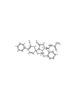 CC(=O)NC[C@H]1CN(C2(CNCc3ccncc3F)C=CC(c3ccccc3)=C(F)C2)C(=O)O1